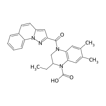 CCC1CN(C(=O)c2cc3ccc4ccccc4n3n2)c2cc(C)c(C)cc2N1C(=O)O